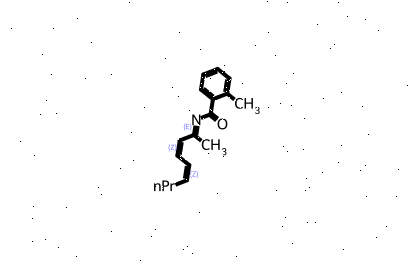 CCC\C=C/C=C\C(C)=N\C(=O)c1ccccc1C